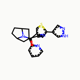 N#CC1(c2ccccn2)CC2CCC(C1)N2C(=O)c1csc(-c2cn[nH]c2)c1